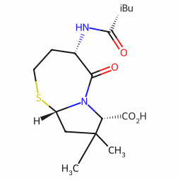 CC[C@@H](C)C(=O)N[C@H]1CCS[C@H]2CC(C)(C)[C@@H](C(=O)O)N2C1=O